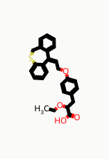 CCOC(Cc1ccc(OCC=C2c3ccccc3CSc3ccccc32)cc1)C(=O)O